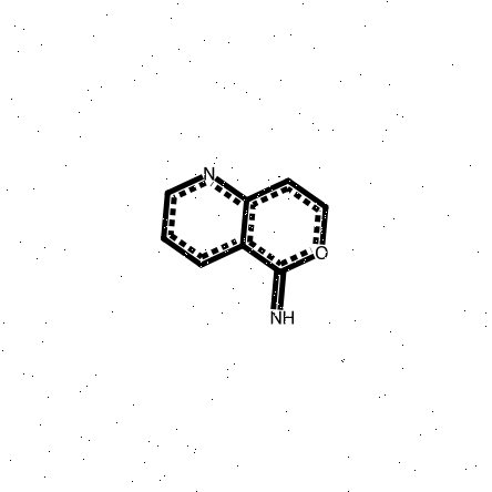 N=c1occc2ncccc12